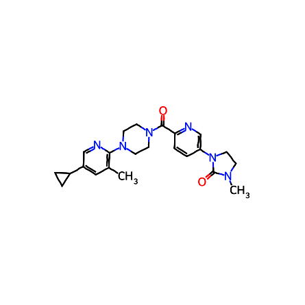 Cc1cc(C2CC2)cnc1N1CCN(C(=O)c2ccc(N3CCN(C)C3=O)cn2)CC1